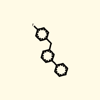 Fc1ccc(Cc2cccc(-c3cc[c]cc3)c2)cc1